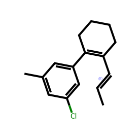 C/C=C/C1=C(c2cc(C)cc(Cl)c2)CCCC1